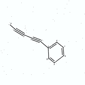 [CH2]C#CC#Cc1ccccc1